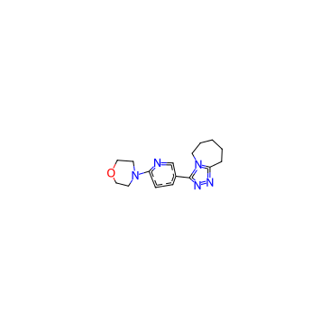 c1cc(N2CCOCC2)ncc1-c1nnc2n1CCCCC2